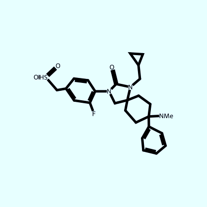 CNC1(c2ccccc2)CCC2(CC1)CN(c1ccc(C[SH](=O)=O)cc1F)C(=O)N2CC1CC1